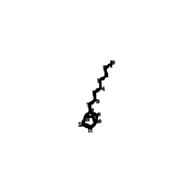 ICCCCCCCC1CC2C=CC1C2